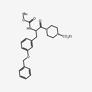 CCOC(=O)N1CCN(C(=O)C(Cc2cccc(OCc3ccccc3)c2)NC(=O)OC(C)(C)C)CC1